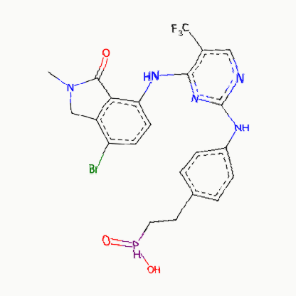 CN1Cc2c(Br)ccc(Nc3nc(Nc4ccc(CC[PH](=O)O)cc4)ncc3C(F)(F)F)c2C1=O